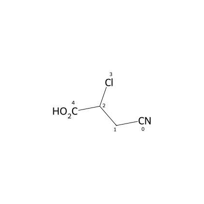 N#CCC(Cl)C(=O)O